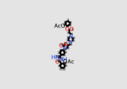 CC(=O)Oc1ccccc1OC(=O)CCN1CCN(CC2CN(c3ccc(C(=N)NC(=O)c4ccccc4OC(C)=O)cc3)C(=O)O2)CC1